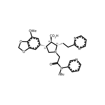 CCCCN(C(=O)CN1C[C@H](c2cc(OC)c3c(c2)OCO3)[C@@H](C(=O)O)[C@@H]1CCc1ncccn1)c1cccnc1